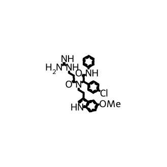 COc1ccc2[nH]cc(CCN(C(=O)CCNC(=N)N)C(C(=O)Nc3ccccc3)c3ccc(Cl)cc3)c2c1